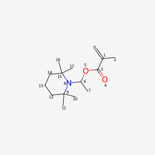 C=C(C)C(=O)OC(C)N1C(C)(C)CCCC1(C)C